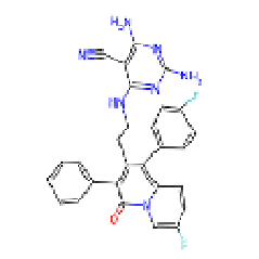 N#Cc1c(N)nc(N)nc1NCCc1c(-c2ccccc2)c(=O)n2cc(F)ccc2c1-c1ccc(F)cc1